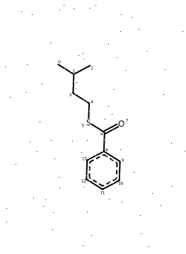 CC(C)CCSC(=O)c1ccccc1